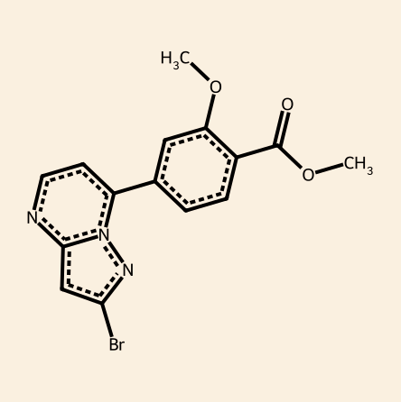 COC(=O)c1ccc(-c2ccnc3cc(Br)nn23)cc1OC